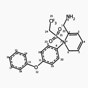 NCC1=CC=CC[N+]1(c1ccc(Oc2ccccc2)cc1)S(=O)(=O)CC(F)(F)F